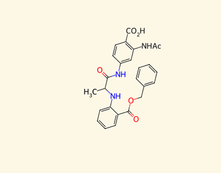 CC(=O)Nc1cc(NC(=O)C(C)Nc2ccccc2C(=O)OCc2ccccc2)ccc1C(=O)O